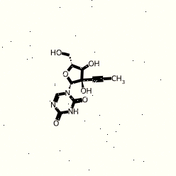 CC#C[C@@]1(O)C(O)[C@@H](CO)O[C@H]1n1cnc(=O)[nH]c1=O